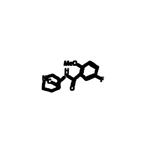 COc1ccc(F)cc1C(=O)NC1CN2CCC1CC2